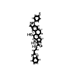 C[C@]12Cc3cnn(-c4ccc(F)cc4)c3C=C1CCC1C2[C@@H](O)C[C@@]2(C)C1CC[C@]2(O)C(=O)NCCc1nc2ccccc2o1